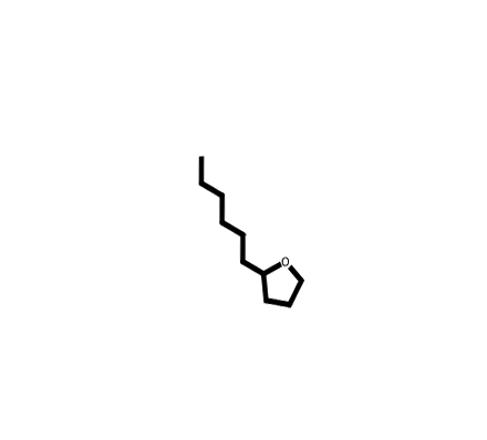 CCCC[CH]CC1CCCO1